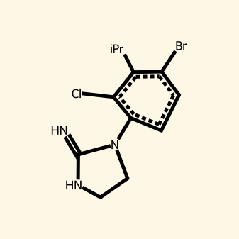 CC(C)c1c(Br)ccc(N2CCNC2=N)c1Cl